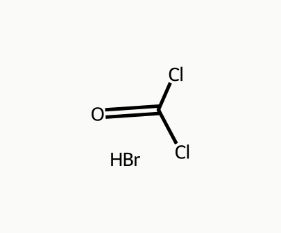 Br.O=C(Cl)Cl